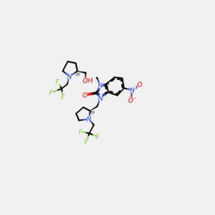 Cn1c(=O)n(C[C@@H]2CCCN2CC(F)(F)F)c2cc([N+](=O)[O-])ccc21.OC[C@@H]1CCCN1CC(F)(F)F